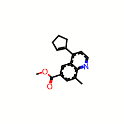 COC(=O)c1cc(C)c2nccc(C3=CCCC3)c2c1